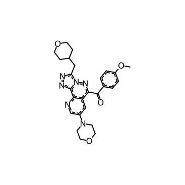 COc1ccc(C(=O)c2nn3c(CC4CCOCC4)nnc3c3ncc(N4CCOCC4)cc23)cc1